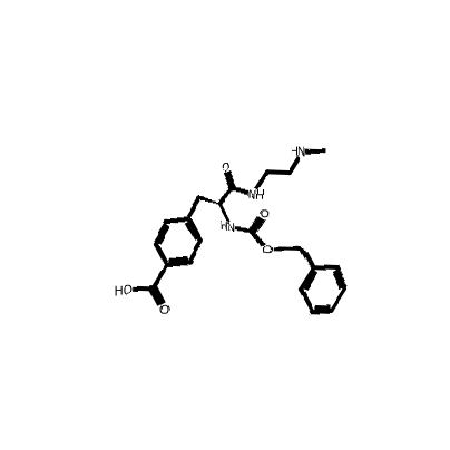 CNCCNC(=O)[C@H](Cc1ccc(C(=O)O)cc1)NC(=O)OCc1ccccc1